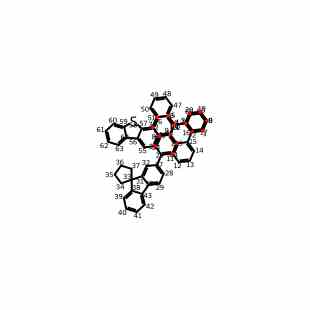 c1ccc(-c2ccccc2-c2ccccc2-c2ccccc2N(c2ccc(-c3ccc4c(c3)C3(CCCC3)c3ccccc3-4)cc2)c2ccccc2-c2cccc3c2sc2ccccc23)cc1